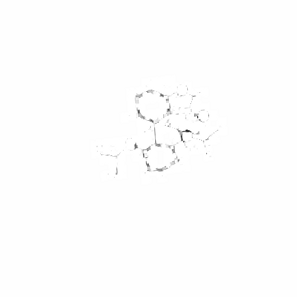 CC(C)Oc1cccc(OC(C)C)c1-c1cccc2c1[P@@](=O)(C(C)(C)C)CO2